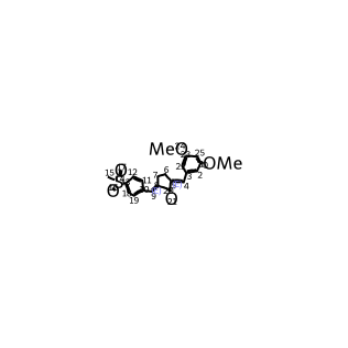 COc1cc(/C=C2\CC/C(=C\c3ccc(S(C)(=O)=O)cc3)C2=O)cc(OC)c1